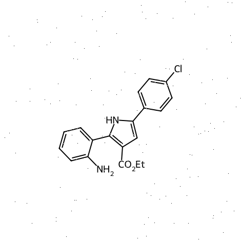 CCOC(=O)c1cc(-c2ccc(Cl)cc2)[nH]c1-c1ccccc1N